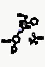 COc1cc(/C=C/C(=O)N[C@H](C(=O)OC(C)(C)C)c2ccccc2)ccc1-n1ccnc1.O=C(O)C(F)(F)F